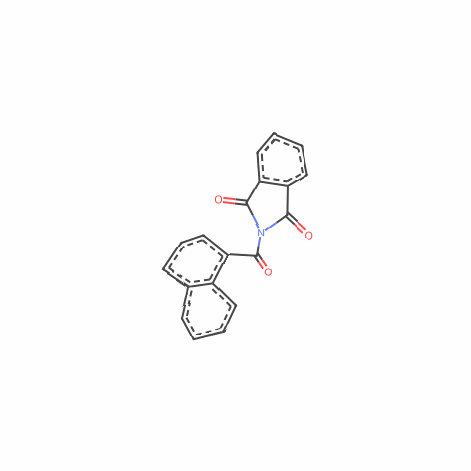 O=C1c2ccccc2C(=O)N1C(=O)c1cccc2ccccc12